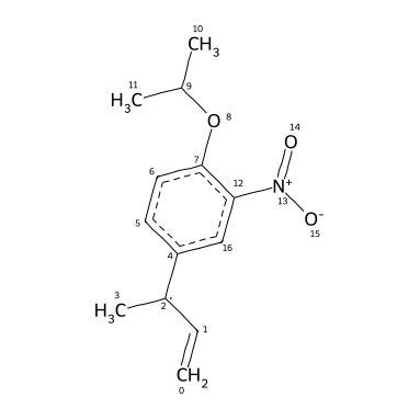 C=C[C](C)c1ccc(OC(C)C)c([N+](=O)[O-])c1